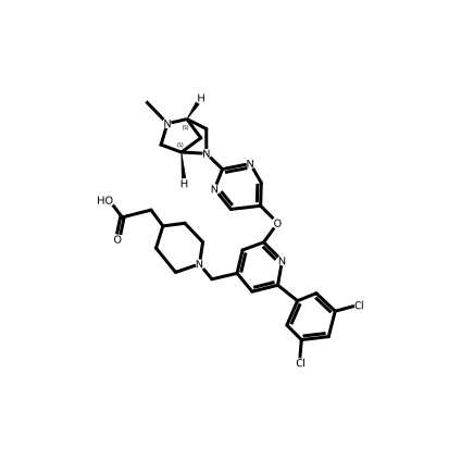 CN1C[C@@H]2C[C@H]1CN2c1ncc(Oc2cc(CN3CCC(CC(=O)O)CC3)cc(-c3cc(Cl)cc(Cl)c3)n2)cn1